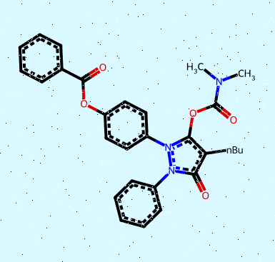 CCCCc1c(OC(=O)N(C)C)n(-c2ccc(OC(=O)c3ccccc3)cc2)n(-c2ccccc2)c1=O